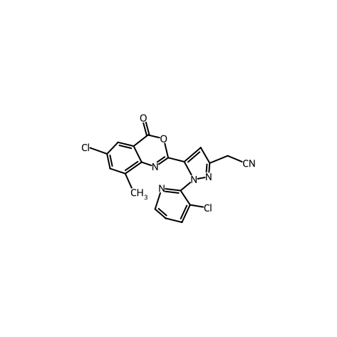 Cc1cc(Cl)cc2c(=O)oc(-c3cc(CC#N)nn3-c3ncccc3Cl)nc12